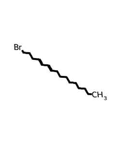 CCCCCCCCCC=CC=CCCCBr